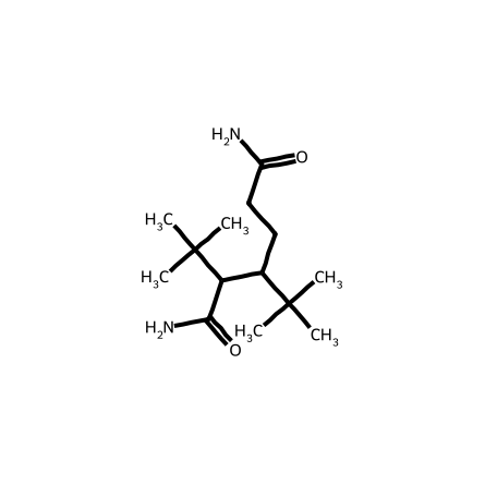 CC(C)(C)C(CCC(N)=O)C(C(N)=O)C(C)(C)C